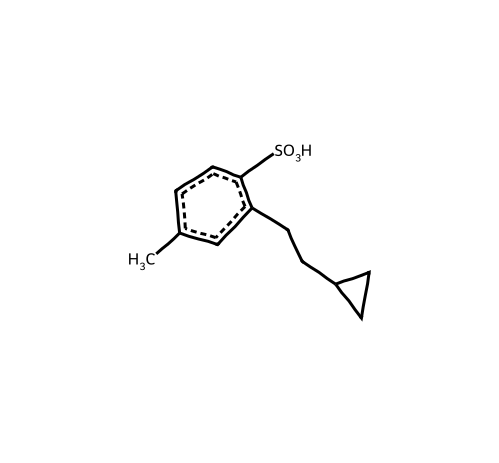 Cc1ccc(S(=O)(=O)O)c(CCC2CC2)c1